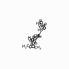 C[C@H]1C=C2C=C[C@H](C)[C@H](CC[C@@H]3C[C@@H](O[Si](C)(C)C(C)(C)C)CC(=O)O3)[C@H]2[C@@H](OC(=O)NCCCCOCCCCNc2cccc3c2C(=O)N(C2CCC(=O)NC2=O)C3=O)C1